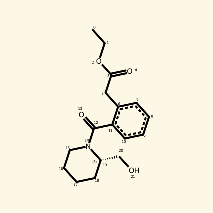 CCOC(=O)Cc1ccccc1C(=O)N1CCCC[C@H]1CO